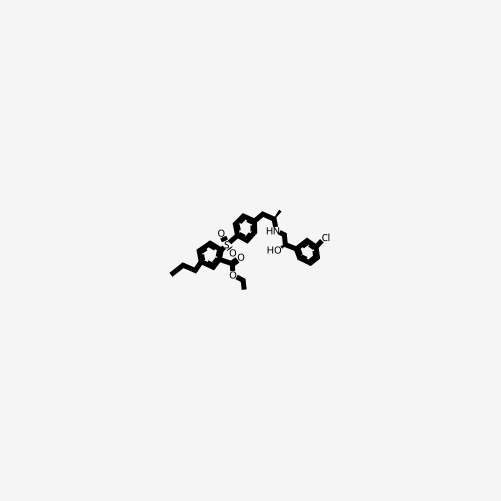 CCCc1ccc(S(=O)(=O)c2ccc(C[C@@H](C)NC[C@H](O)c3cccc(Cl)c3)cc2)c(C(=O)OCC)c1